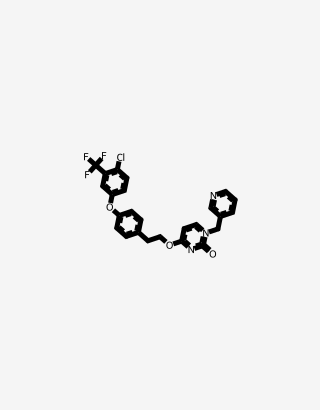 O=c1nc(OCCc2ccc(Oc3ccc(Cl)c(C(F)(F)F)c3)cc2)ccn1Cc1cccnc1